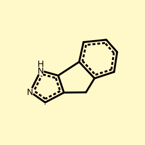 [c]1n[nH]c2c1Cc1ccccc1-2